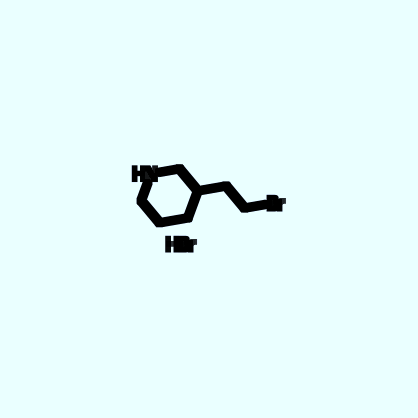 Br.BrCCC1CCCNC1